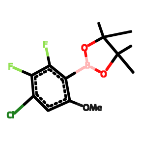 COc1cc(Cl)c(F)c(F)c1B1OC(C)(C)C(C)(C)O1